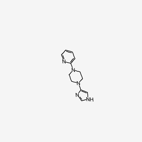 c1ccc(N2CCN(c3c[nH]cn3)CC2)nc1